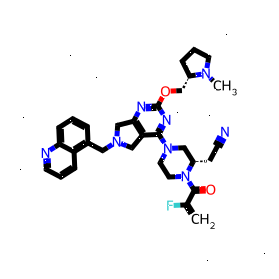 C=C(F)C(=O)N1CCN(c2nc(OC[C@@H]3CCCN3C)nc3c2CN(Cc2cccc4ncccc24)C3)C[C@@H]1CC#N